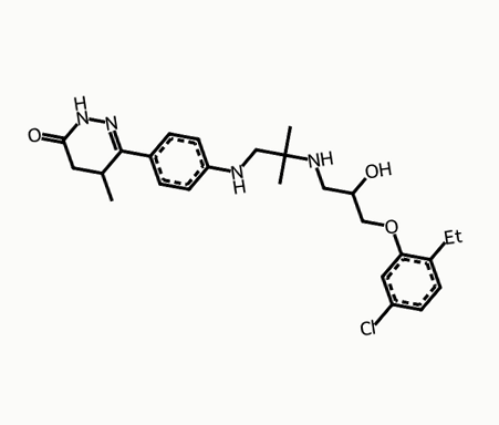 CCc1ccc(Cl)cc1OCC(O)CNC(C)(C)CNc1ccc(C2=NNC(=O)CC2C)cc1